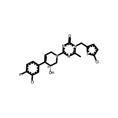 Cc1nc(N2CC=C(c3ccc(F)c(Cl)c3)[C@@H](O)C2)nc(=O)n1Cc1ccc(Cl)s1